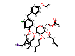 CCCCO[C@@H]1[C@@H](OCCCC)[C@H](c2cc(Cc3ccc(OCC)cc3)c(Cl)cc2OC[C@H]2C[C@H]2CI)O[C@H](COC(C)=O)[C@H]1OCCCC